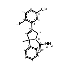 CC1(c2ccccc2)C=C(c2cc(Cl)ccc2F)CN1C(N)=O